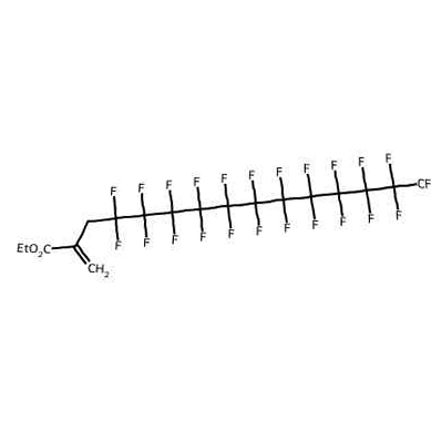 C=C(CC(F)(F)C(F)(F)C(F)(F)C(F)(F)C(F)(F)C(F)(F)C(F)(F)C(F)(F)C(F)(F)C(F)(F)C(F)(F)C(F)(F)F)C(=O)OCC